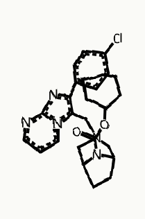 O=C(OC1CCCCC1)N1C2CCC1CN(Cc1c(-c3ccc(Cl)cc3)nc3ncccn13)C2